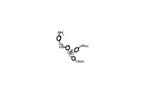 CCCCCCCCCc1ccc(OP(=O)(Oc2ccc(CCCCCCCCC)cc2)Oc2cccc(NCOc3ccc(N)cc3)c2)cc1